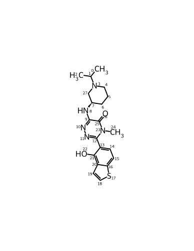 CC(C)N1CCC[C@@H](Nc2nnc(-c3ccc4sccc4c3O)n(C)c2=O)C1